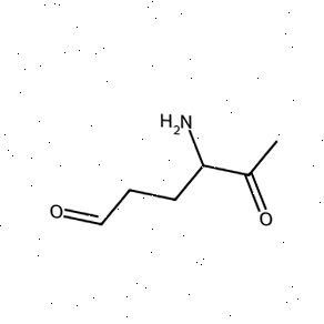 CC(=O)C(N)CCC=O